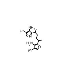 CC(C)c1coc(C(C)CCC(C)c2nsc(C(C)C)c2N)c1N